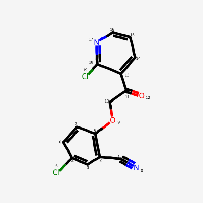 N#Cc1cc(Cl)ccc1OCC(=O)c1cccnc1Cl